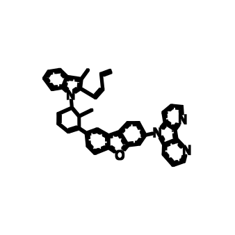 C=C/C=C\c1c(C)c2ccccc2n1C1C=CC=C(c2ccc3oc4cc(-n5c6cccnc6c6ncccc65)ccc4c3c2)C1C